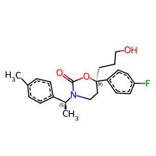 Cc1ccc([C@H](C)N2CC[C@](CCCO)(c3ccc(F)cc3)OC2=O)cc1